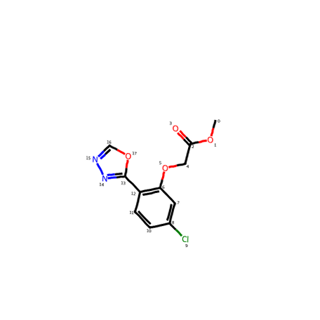 COC(=O)COc1cc(Cl)ccc1-c1nnco1